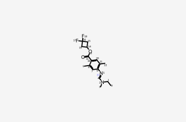 CCN(C)/C=N/c1cc(C)c(C(=O)OC2CC(F)(F)C2)cc1C